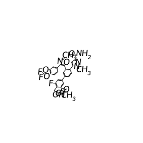 Cc1nc(-c2ccc3c(c2)OC(F)(F)O3)c(-c2cc(-c3cc(F)c(CO)c(S(C)(=O)=O)c3)ccc2-c2cc(C(N)=O)nn2C)o1